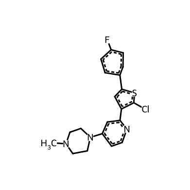 CN1CCN(c2ccnc(-c3cc(-c4ccc(F)cc4)sc3Cl)c2)CC1